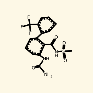 CS(=O)(=O)NC(=O)c1c(NC(N)=O)cccc1-c1ccccc1C(F)(F)F